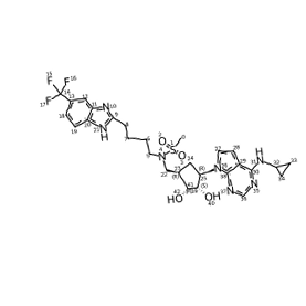 CS(=O)(=O)N(CCCCc1nc2cc(C(F)(F)F)ccc2[nH]1)C[C@H]1C[C@@H](n2ccc3c(NC4CC4)ncnc32)[C@H](O)[C@@H]1O